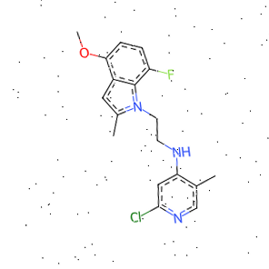 COc1ccc(F)c2c1cc(C)n2CCNc1cc(Cl)ncc1C